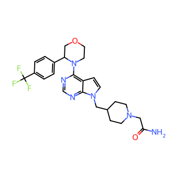 NC(=O)CN1CCC(Cn2ccc3c(N4CCOCC4c4ccc(C(F)(F)F)cc4)ncnc32)CC1